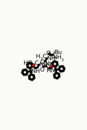 CC[C@H](C)[C@H](N)C(=O)N[C@@H](C)C(=O)N[C@@H](CC(=O)NC(c1ccccc1)(c1ccccc1)c1ccccc1)C(=O)N[C@@H](CC(=O)NC(c1ccccc1)(c1ccccc1)c1ccccc1)C(=O)O